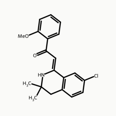 COc1ccccc1C(=O)C=C1NC(C)(C)Cc2ccc(Cl)cc21